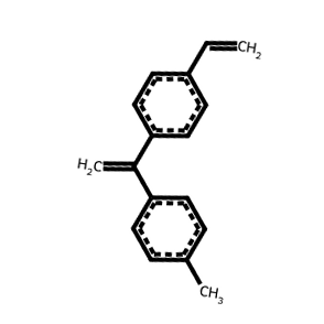 C=Cc1ccc(C(=C)c2ccc(C)cc2)cc1